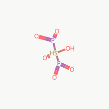 O=P(=O)[SH](=O)(O)P(=O)=O